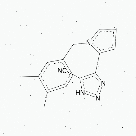 Cc1ccc(Cn2cccc2-c2nn[nH]c2C#N)cc1C